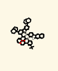 CC(C)(C)c1ccc(N2c3cc4ccccc4c4c3B(c3ccc5c(oc6cc7ccccc7cc65)c32)n2c3ccc(C56CCCC(CCC5)C6)cc3c3cc(C56CCCC(CCC5)C6)cc-4c32)c(-c2ccccc2)c1